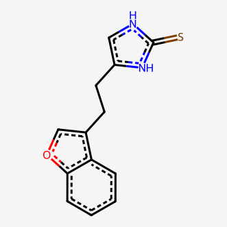 S=c1[nH]cc(CCc2coc3ccccc23)[nH]1